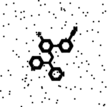 N#Cc1cccc(-c2cc(F)ccc2CC(c2cccnc2)c2cccnc2)c1